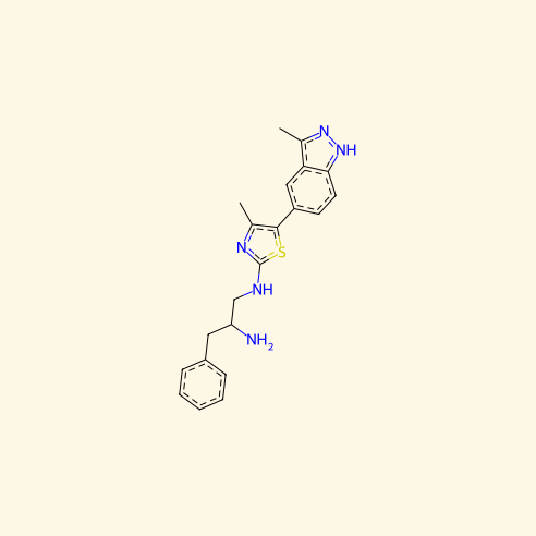 Cc1nc(NCC(N)Cc2ccccc2)sc1-c1ccc2[nH]nc(C)c2c1